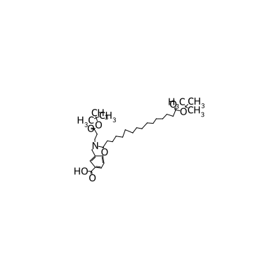 CC(C)(C)OC(=O)CCCCCCCCCCCCCCC(=O)N(CCC(=O)OC(C)(C)C)Cc1cccc(C(=O)O)c1